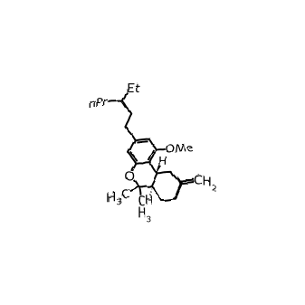 C=C1CC[C@@H]2[C@@H](C1)c1c(OC)cc(CCC(CC)CCC)cc1OC2(C)C